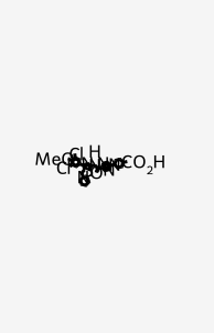 COc1c(Cl)cc(-c2nc(NC(=O)c3cnc(N4CCC(C(=O)O)CC4)cn3)sc2CN2CCCC[C@H]2C)cc1Cl